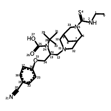 CCNC(=S)N1CC2CC(CN(C[C@@H](COc3ccc(C#N)cc3)N(C(=O)O)C(C)(C)C)C2)C1